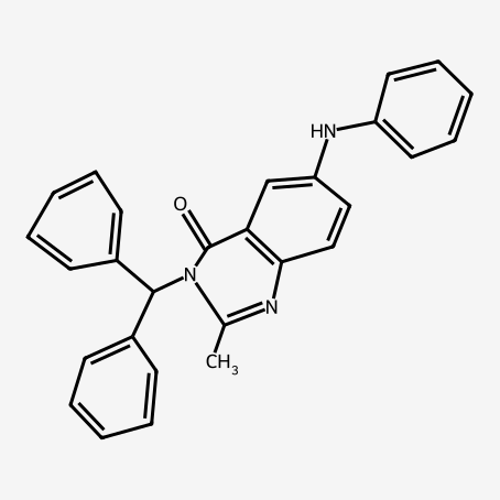 Cc1nc2ccc(Nc3ccccc3)cc2c(=O)n1C(c1ccccc1)c1ccccc1